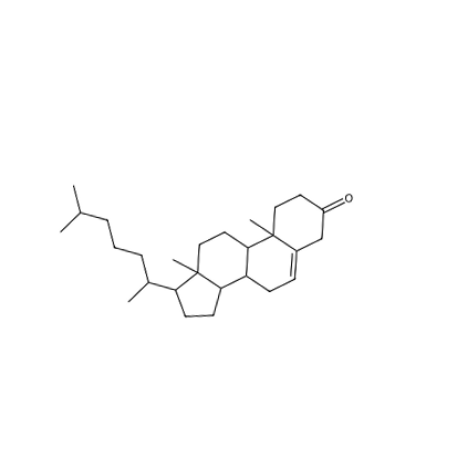 CC(C)CCCC(C)C1CCC2C3CC=C4CC(=O)CCC4(C)C3CCC12C